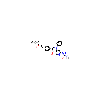 C=C(C(=O)c1cnc(NC(=O)NCC)cc1Nc1ccccc1)c1ccc(CCC(=O)C(C)OC)cc1